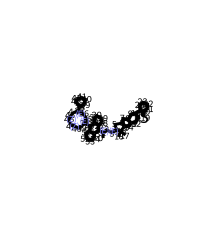 C/C(=C\C=C1/Cc2cc3cc4c(cc3cc2C1(C)C)sc1ccccc14)c1c2ccccc2c(/C2=C/C=C(/c3ccccc3)C/C=C\C=C/C2)c2ccccc12